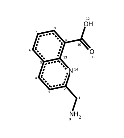 NCc1ccc2cccc(C(=O)O)c2n1